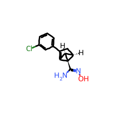 N/C(=N\O)[C@]12C3=C(c4cccc(Cl)c4)C[C@@H]1[C@H]32